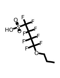 CCCOC(F)(F)C(F)(F)C(F)(F)C(F)(F)S(=O)(=O)O